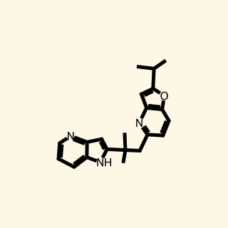 CC(C)c1cc2nc(CC(C)(C)c3cc4ncccc4[nH]3)ccc2o1